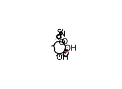 CC1=C/[C@H](C)[C@@H](c2ccc3sc(C)nc3c2)OC(=O)C[C@H](O)C(C)(C)C(=O)[C@H](C)[C@@H](O)[C@@H](C)C\C=C\1